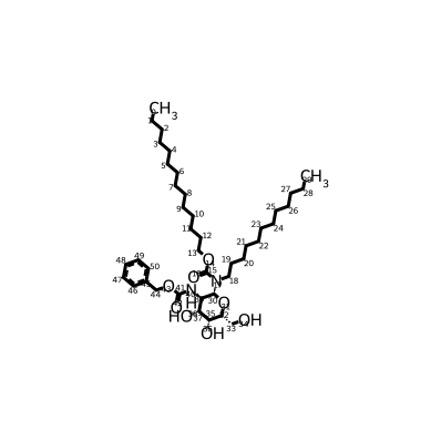 CCCCCCCCCCCCCCOC(=O)N(CCCCCCCCCCCC)[C@@H]1O[C@H](CO)[C@H](O)[C@H](O)[C@H]1NC(=O)OCc1ccccc1